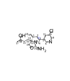 C=C(/C=C(\C)c1cncc(Cl)c1)[C@@]1([C@@H](C)C[C@@H](C)O)COC(N)=N1